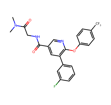 CN(C)C(=O)CNC(=O)c1cnc(Oc2ccc(C(F)(F)F)cc2)c(-c2cccc(F)c2)c1